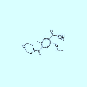 C=C(c1cc(OCC)c(C(=O)O)cc1C)N1CCOCC1